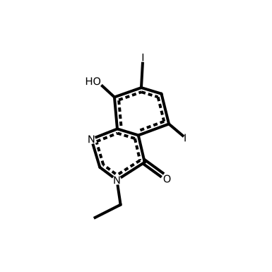 CCn1cnc2c(O)c(I)cc(I)c2c1=O